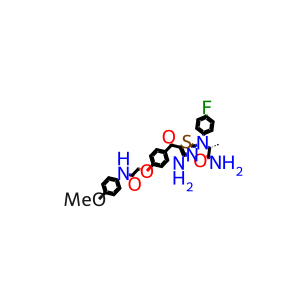 COc1ccc(NC(=O)COc2ccc(C(=O)c3sc(N(c4ccc(F)cc4)[C@H](C)C(N)=O)nc3N)cc2)cc1